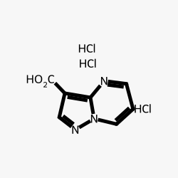 Cl.Cl.Cl.O=C(O)c1cnn2cccnc12